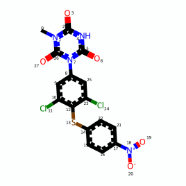 Cn1c(=O)[nH]c(=O)n(-c2cc(Cl)c(Sc3ccc([N+](=O)[O-])cc3)c(Cl)c2)c1=O